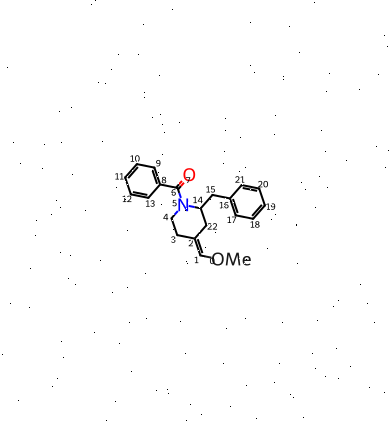 CO/C=C1/CCN(C(=O)c2ccccc2)C(Cc2ccccc2)C1